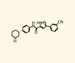 N#Cc1cccc(-c2cc(C(=O)Nc3ccc([C@H]4CCCNC4)cc3)[nH]n2)c1